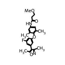 COCCC(=O)Nc1cc(C)c(Oc2cc(F)cc(-c3c(C)noc3C)c2)c(C)c1